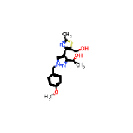 COc1ccc(Cn2cc(-c3nc(C)sc3CO)c(C(C)O)n2)cc1